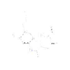 C=CNC(=C)CCC(C)N(C)c1cc(F)c(CCO)cc1OC=O